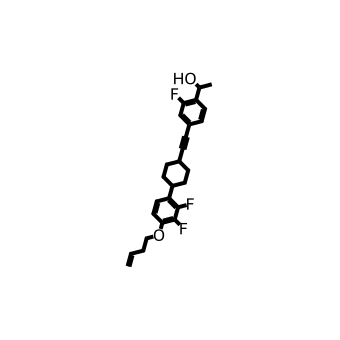 C=CCCOc1ccc(C2CCC(C#Cc3ccc(C(C)O)c(F)c3)CC2)c(F)c1F